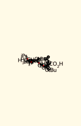 CC(C)CCC[C@@H](C)[C@H]1CC[C@H]2[C@@H]3CC=C4C[C@@H](N(CCCNC(=O)CCNC(=O)[C@H](CCC(=O)OC(C)(C)C)NC(=O)[C@H](CCC(=O)O)NC(=O)OCC5c6ccccc6-c6ccccc65)C(=O)OC(C)(C)C)CC[C@]4(C)[C@H]3CC[C@]12C